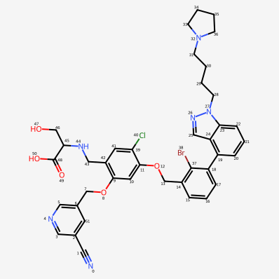 N#Cc1cncc(COc2cc(OCc3cccc(-c4cccc5c4cnn5CCCCN4CCCC4)c3Br)c(Cl)cc2CNC(CO)C(=O)O)c1